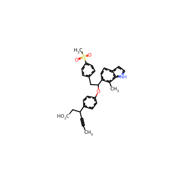 CC#CC(CC(=O)O)c1ccc(OC(Cc2ccc(S(C)(=O)=O)cc2)c2ccc3cc[nH]c3c2C)cc1